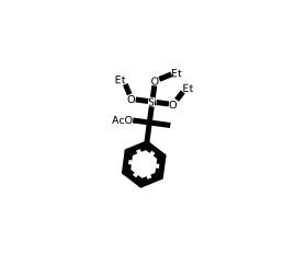 CCO[Si](OCC)(OCC)C(C)(OC(C)=O)c1ccccc1